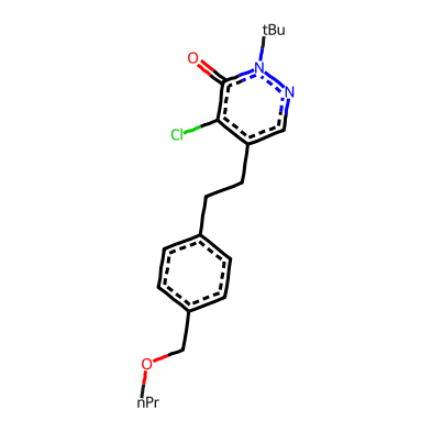 CCCOCc1ccc(CCc2cnn(C(C)(C)C)c(=O)c2Cl)cc1